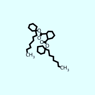 CCCCCCCC1(OC(=O)C2CCCCC2C(=O)OC2(CCCCCCC)CCCCC2)CCCCC1